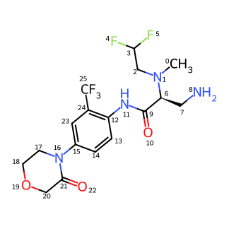 CN(CC(F)F)[C@@H](CN)C(=O)Nc1ccc(N2CCOCC2=O)cc1C(F)(F)F